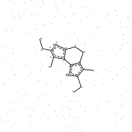 CCc1[nH]c2c(c1C)CCc1[nH]c(CC)c(C)c1-2